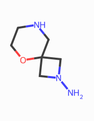 NN1CC2(CNCCO2)C1